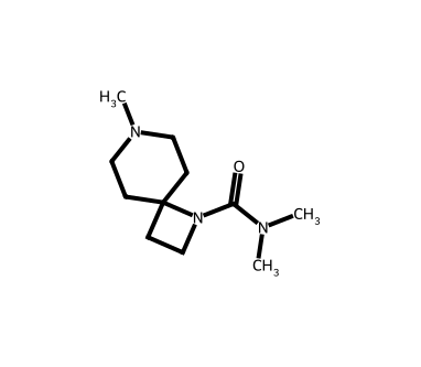 CN1CCC2(CC1)CCN2C(=O)N(C)C